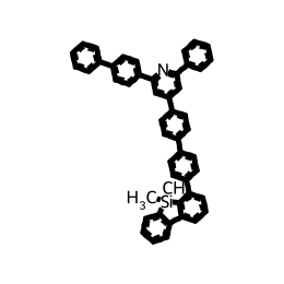 C[Si]1(C)c2ccccc2-c2cccc(-c3ccc(-c4ccc(-c5cc(-c6ccccc6)nc(-c6ccc(-c7ccccc7)cc6)c5)cc4)cc3)c21